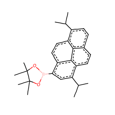 CC(C)c1ccc2ccc3c(C(C)C)cc(B4OC(C)(C)C(C)(C)O4)c4ccc1c2c43